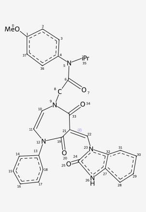 COc1ccc(N(C(=O)CN2C=CN(c3ccccc3)C(=O)/C(=C\n3c(=O)[nH]c4ccccc43)C2=O)C(C)C)cc1